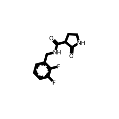 O=C1NCCC1C(=O)NCc1cccc(F)c1F